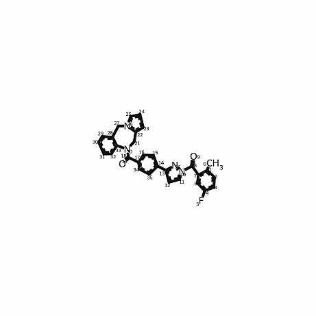 Cc1ccc(F)cc1C(=O)n1ccc(-c2ccc(C(=O)N3Cc4cccn4Cc4ccccc43)cc2)n1